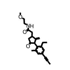 C=C1C(CC(=O)NCCOC)CC(=O)C1c1c(C)cc(C#CC)cc1CC